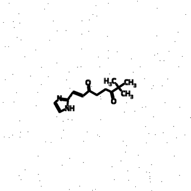 CC(C)(C)C(=O)CCC(=O)/C=C/c1ncc[nH]1